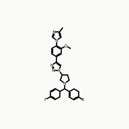 COc1cc(-c2cn(C3CCN(C(C4=CC=C(F)CC4)C4C=CC(F)=CC4)C3)nn2)ccc1-n1cnc(C)c1